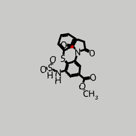 COC(=O)c1cc(N[SH](=O)=O)c(Sc2ccccc2)c(N2C(=O)CCC2=O)c1